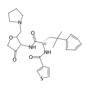 CC(C)(C[C@H](NC(=O)c1ccsc1)C(=O)NC1C(=O)COC1CN1CCCC1)c1ccccc1